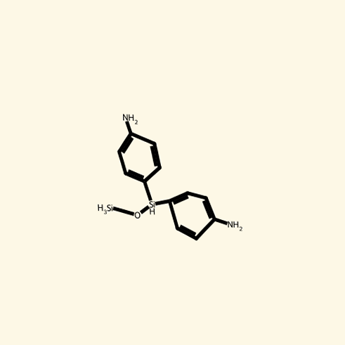 Nc1ccc([SiH](O[SiH3])c2ccc(N)cc2)cc1